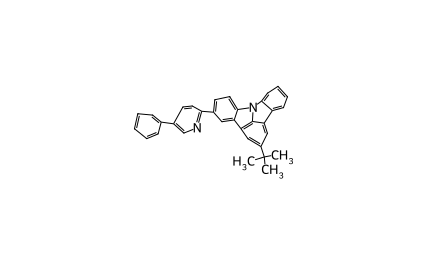 CC(C)(C)c1cc2c3ccccc3n3c4ccc(-c5ccc(-c6ccccc6)cn5)cc4c(c1)c23